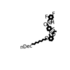 CCCCCCCCCCCCCCCCCCOc1cccc(F)c1CN1C(=O)C(C)Sc2cc(C(=O)NCc3c(F)cc(F)cc3F)ccc21